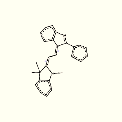 CN1/C(=C\C=C2\C(c3ccccc3)=Nc3ccccc32)C(C)(C)c2ccccc21